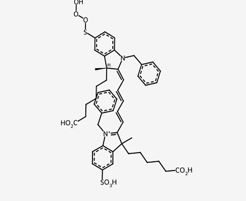 CC1(CCCCCC(=O)O)C(C=CC=CC=C2N(Cc3ccccc3)c3ccc(SOOO)cc3[C@@]2(C)CCCCCC(=O)O)=[N+](Cc2ccccc2)c2ccc(S(=O)(=O)O)cc21